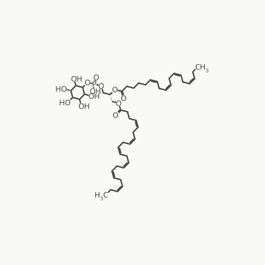 CC/C=C\C/C=C\C/C=C\C/C=C\C/C=C\C/C=C\CCC(=O)OC[C@H](COP(=O)(O)OC1C(O)C(O)C(O)[C@@H](O)C1O)OC(=O)CCCC/C=C\C/C=C\C/C=C\C/C=C\CC